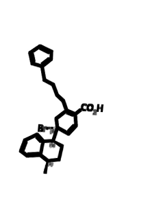 C[C@@H]1CC[C@H]([C@]2(Br)C=CC(C(=O)O)=C(CCCCc3ccccc3)C2)c2ccccc21